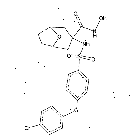 O=C(NO)C1(NS(=O)(=O)c2ccc(Oc3ccc(Cl)cc3)cc2)CC2CCC(C1)O2